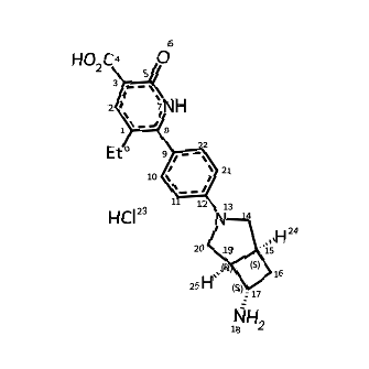 CCc1cc(C(=O)O)c(=O)[nH]c1-c1ccc(N2C[C@H]3C[C@H](N)[C@H]3C2)cc1.Cl